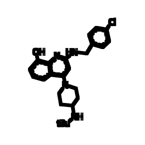 CC(C)(C)NC1CCN(c2cc(NCc3ccc(Cl)cc3)nc3c(O)cccc23)CC1